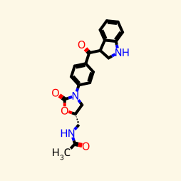 CC(=O)NC[C@H]1CN(c2ccc(C(=O)C3CNc4ccccc43)cc2)C(=O)O1